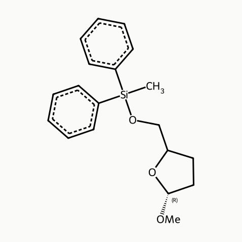 CO[C@H]1CCC(CO[Si](C)(c2ccccc2)c2ccccc2)O1